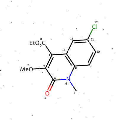 CCOC(=O)c1c(OC)c(=O)n(C)c2ccc(Cl)cc12